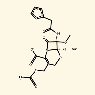 CO[C@]1(NC(=O)Cc2cccs2)C(=O)N2C(C(=O)[O-])=C(COC(N)=O)CS[C@@H]21.[Na+]